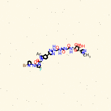 CC(=O)c1nn(CC(=O)N2C[C@H](F)C[C@H]2C(=O)Nc2cccc(Br)n2)c2ccc(-c3cnc(NCC(=O)NCC(=O)NCC(=O)NC[C@H]4OC[C@@H](c5cnn(C)c5)[C@@H](O)[C@H]4O)nc3)cc12